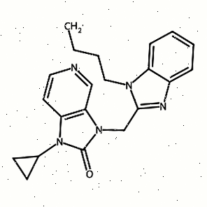 [CH2]CCCn1c(Cn2c(=O)n(C3CC3)c3ccncc32)nc2ccccc21